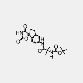 CC(C)(C)OC(=O)NC(C)(C)C(=O)Nc1ccc2c(c1)CC[C@@]21OC(=O)NC1=O